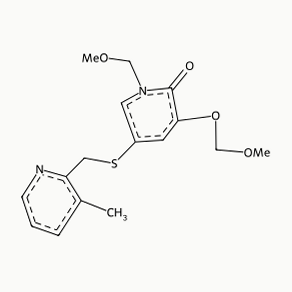 COCOc1cc(SCc2ncccc2C)cn(COC)c1=O